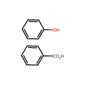 O=C(O)c1ccccc1.Oc1ccccc1